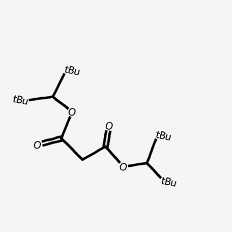 CC(C)(C)C(OC(=O)CC(=O)OC(C(C)(C)C)C(C)(C)C)C(C)(C)C